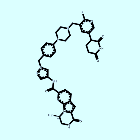 C[C@@H]1CNC(=O)c2cc3ccc(C(=O)Nc4cnn(Cc5ccc(N6CCN(Cc7cc(C8CCC(=O)NC8=O)cnc7F)CC6)cc5)c4)nc3n21